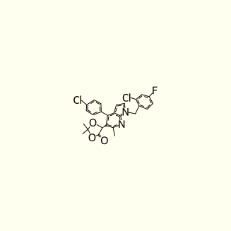 Cc1nc2c(ccn2Cc2ccc(F)cc2Cl)c(-c2ccc(Cl)cc2)c1[C@@H]1OC(C)(C)OC1=O